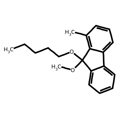 CCCCCOC1(OC)c2ccccc2-c2cccc(C)c21